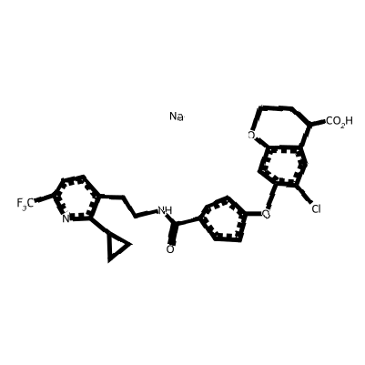 O=C(NCCc1ccc(C(F)(F)F)nc1C1CC1)c1ccc(Oc2cc3c(cc2Cl)C(C(=O)O)CCO3)cc1.[Na]